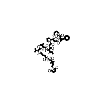 CC[C@H](C)[C@@H]([C@@H](CC(=O)N1CCC[C@H]1[C@H](OC)[C@@H](C)C(=O)N[C@@]1(C(=O)N2CCCCO2)CC1c1ccccc1)OC)N(C)C(=O)[C@@H](NC(=O)[C@H](C(C)C)N(C)CCCC(=O)NNC(=O)C(C)(C)CCN1C(=O)C=CC1=O)C(C)C